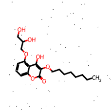 CCCCCCCCOc1c(O)c2c(OCC(O)CO)cccc2oc1=O